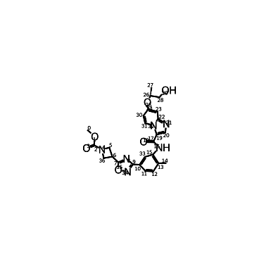 COC(=O)N1CC(c2nc(-c3ccc(C)c(NC(=O)c4cnc5cc(O[C@@H](C)CO)ccn45)c3)no2)C1